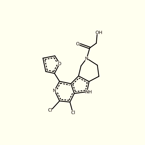 O=C(CO)N1CCc2[nH]c3c(Cl)c(Cl)nc(-c4ccco4)c3c2C1